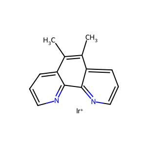 Cc1c(C)c2cccnc2c2ncccc12.[Ir+]